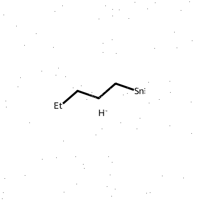 CCCC[CH2][Sn].[H-]